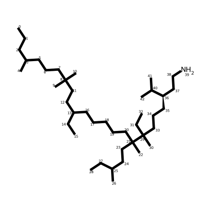 CCCC(C)CCCC(C)(C)CCC(CC)CCCCCC(C)(CCC(C)CC)C(C)(CC)CCC[C@H](CCN)C(C)C